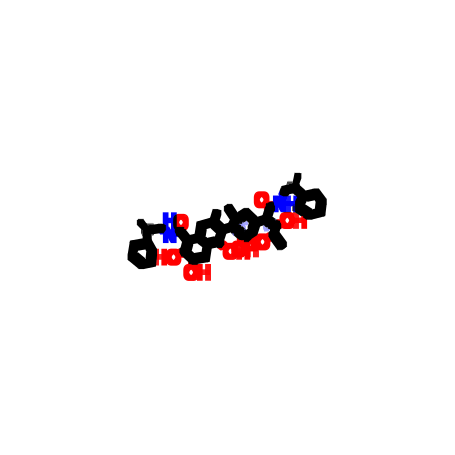 C=C(O)/C(O)=C(/C(=O)NC[C@@H](C)c1ccccc1)C(=CC)/C=C(C)\C(=C(/C)O)c1c(C)cc2c(C(=O)NC[C@H](C)c3ccccc3)c(O)c(O)cc2c1O